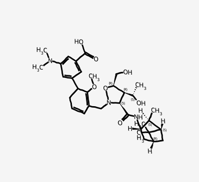 COC1=C(CN2O[C@@H](CO)[C@@H]([C@H](C)O)[C@H]2C(=O)N[C@H]2C[C@H]3C[C@@H]([C@@H]2C)C3(C)C)C=CCC1c1cc(C(=O)O)cc(N(C)C)c1